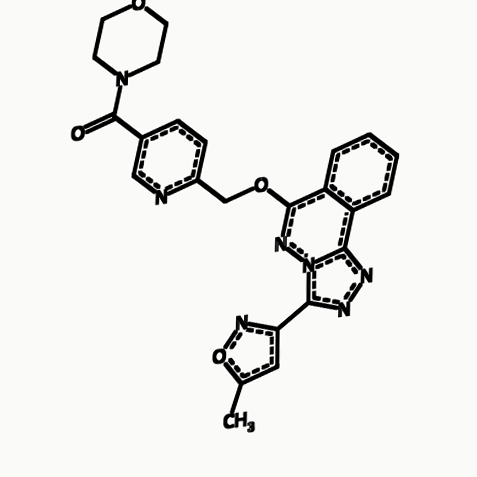 Cc1cc(-c2nnc3c4ccccc4c(OCc4ccc(C(=O)N5CCOCC5)cn4)nn23)no1